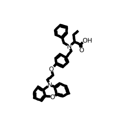 CCC(C(=O)O)N(Cc1ccccc1)Cc1ccc(OCCN2c3ccccc3Oc3ccccc32)cc1